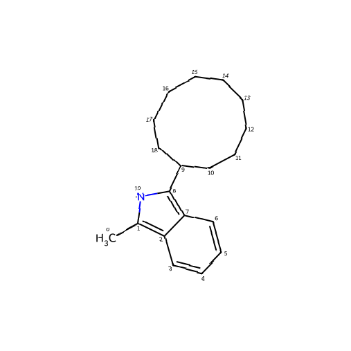 CC1=c2ccccc2=C(C2CCCCCCCCC2)[N]1